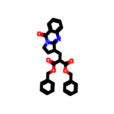 O=C(OCc1ccccc1)C(CC1CCn2c1nc1ccccc1c2=O)C(=O)OCc1ccccc1